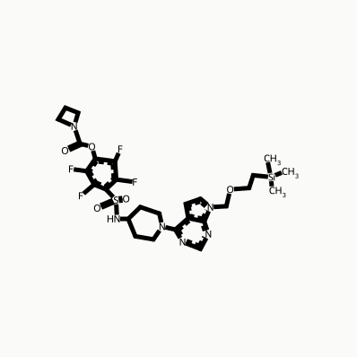 C[Si](C)(C)CCOCn1ccc2c(N3CCC(NS(=O)(=O)c4c(F)c(F)c(OC(=O)N5CCC5)c(F)c4F)CC3)ncnc21